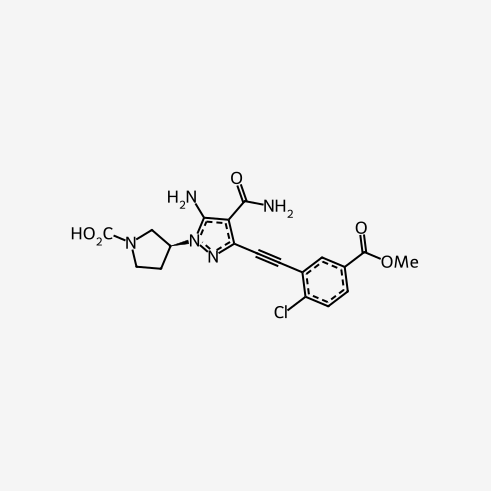 COC(=O)c1ccc(Cl)c(C#Cc2nn([C@H]3CCN(C(=O)O)C3)c(N)c2C(N)=O)c1